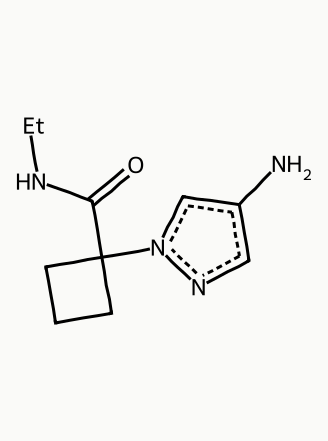 CCNC(=O)C1(n2cc(N)cn2)CCC1